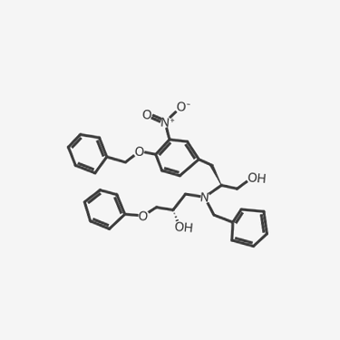 O=[N+]([O-])c1cc(C[C@@H](CO)N(Cc2ccccc2)C[C@H](O)COc2ccccc2)ccc1OCc1ccccc1